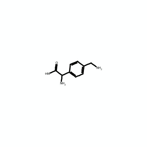 [NH]C(=O)C(N)c1ccc(CN)cc1